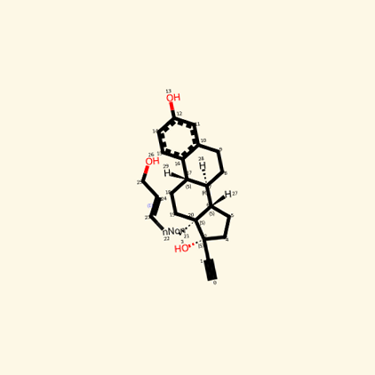 C#C[C@]1(O)CC[C@H]2[C@@H]3CCc4cc(O)ccc4[C@H]3CC[C@@]21C.CCCCCCCCC/C=C/CO